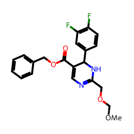 COCOCC1=NC=C(C(=O)OCc2ccccc2)C(c2ccc(F)c(F)c2)N1